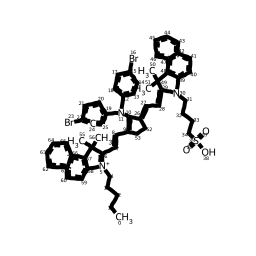 CCCCC[N+]1=C(/C=C/C2=C(N(c3ccc(Br)cc3)c3ccc(Br)cc3)C(=C/C=C3/N(CCCCS(=O)(=O)O)c4ccc5ccccc5c4C3(C)C)/CC2)C(C)(C)c2c1ccc1ccccc21